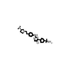 CN(C)[C@@H]1CCN(CCc2ccc(Nc3ncc(Cl)c(-c4ccc(C(C)(C)N)cc4)n3)cc2)C1